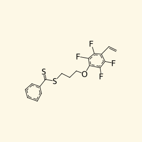 C=Cc1c(F)c(F)c(OCCCSC(=S)c2ccccc2)c(F)c1F